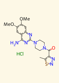 COc1cc2nc(N3CCN(C(=O)c4nnsc4C)CC3)nc(N)c2cc1OC.Cl